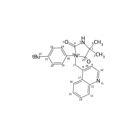 CC1(C)NC(=O)[N+](Cc2ccnc3ccccc23)(c2ccc(C(C)(C)C)cc2)C1=O